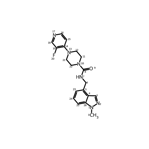 Cn1ncc2c(CNC(=O)N3CCN(c4ccncc4F)CC3)cccc21